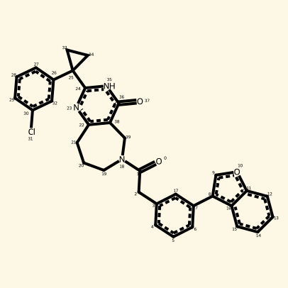 O=C(Cc1cccc(-c2coc3ccccc23)c1)N1CCCc2nc(C3(c4cccc(Cl)c4)CC3)[nH]c(=O)c2C1